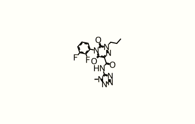 CCCn1nc(C(=O)Nc2nnnn2C)c(=O)n(-c2cccc(F)c2F)c1=O